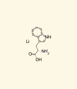 N[C@@H](Cc1c[nH]c2ccccc12)C(=O)O.[Li]